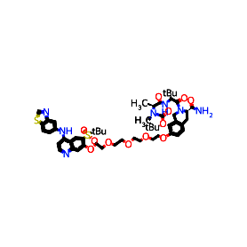 C[C@@H](C(=O)N[C@H](C(=O)N1Cc2cc(OCCOCCOCCOCCOc3cc4nccc(Nc5ccc6scnc6c5)c4cc3S(=O)(=O)C(C)(C)C)ccc2C[C@H]1C(N)=O)C(C)(C)C)N(C)C(=O)OC(C)(C)C